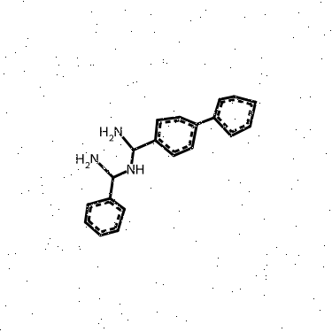 NC(NC(N)c1ccc(-c2ccccc2)cc1)c1ccccc1